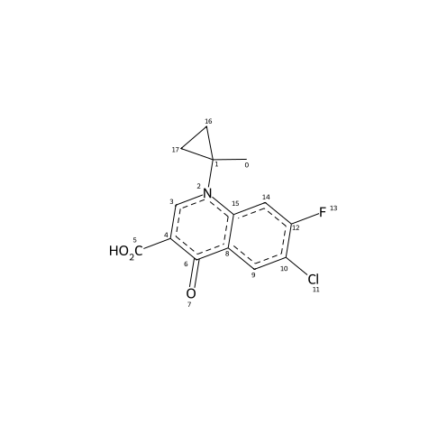 CC1(n2cc(C(=O)O)c(=O)c3cc(Cl)c(F)cc32)CC1